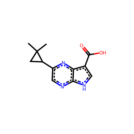 CC1(C)CC1c1cnc2[nH]cc(C(=O)O)c2n1